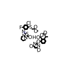 COC(=O)CSc1cc(/N=c2\sc(=O)n3n2CCCC3)c(F)cc1Cl.CON=C(C)c1cccc(Oc2nc(OC)cc(OC)n2)c1C(=O)O